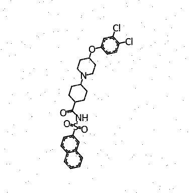 O=C(NS(=O)(=O)c1ccc2ccccc2c1)C1CCC(N2CCC(Oc3ccc(Cl)c(Cl)c3)CC2)CC1